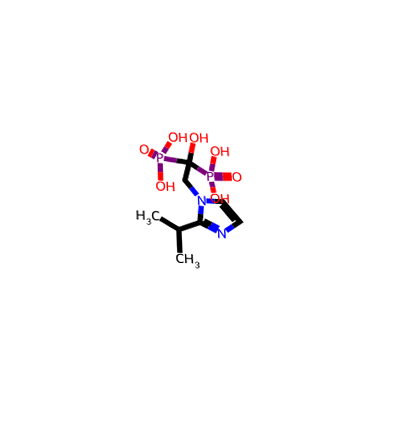 CC(C)c1nccn1CC(O)(P(=O)(O)O)P(=O)(O)O